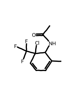 CC(=O)NC1C(C)=CC=CC1(Cl)C(F)(F)F